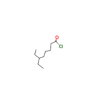 CCC(CC)CCCCC(=O)Cl